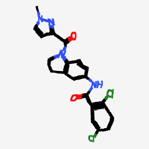 Cn1ccc(C(=O)N2CCc3cc(NC(=O)c4cc(Cl)ccc4Cl)ccc32)n1